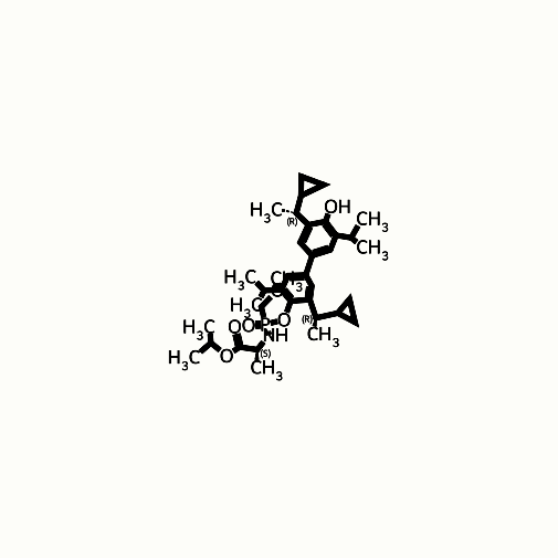 COCP(=O)(N[C@@H](C)C(=O)OC(C)C)Oc1c(C(C)C)cc(-c2cc(C(C)C)c(O)c([C@H](C)C3CC3)c2)cc1[C@H](C)C1CC1